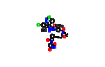 COc1cc(C(=O)N2C[C@H](CC#Cc3cccc4c3CN(C3CCC(=O)NC3=O)C4=O)OC(C)(C)C2)ccc1NC(=O)[C@@H]1N[C@@H](CC(C)(C)C)[C@@]2(CNc3cc(Cl)ccc32)[C@H]1c1cccc(Cl)c1F